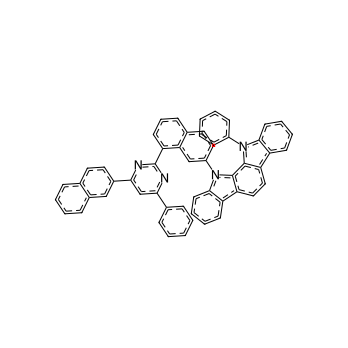 c1ccc(-c2cc(-c3ccc4ccccc4c3)nc(-c3cccc4ccc(-n5c6ccccc6c6ccc7c8ccccc8n(-c8ccccc8)c7c65)cc34)n2)cc1